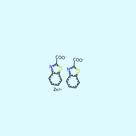 O=C([O-])c1nc2ccccc2s1.O=C([O-])c1nc2ccccc2s1.[Zn+2]